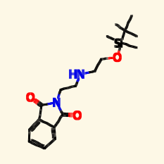 CC(C)(C)[Si](C)(C)OCCNCCN1C(=O)c2ccccc2C1=O